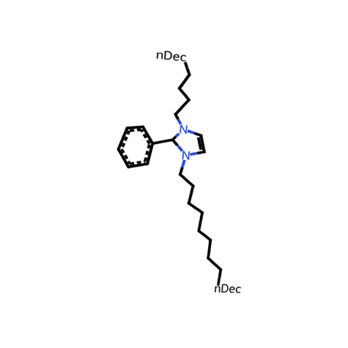 CCCCCCCCCCCCCCCCCCN1C=CN(CCCCCCCCCCCCCC)C1c1ccccc1